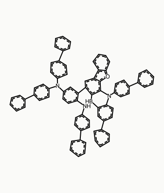 B1c2cc(-c3ccccc3)ccc2N(c2ccc(-c3ccccc3)cc2)c2c1c(-c1cc(N(c3ccc(-c4ccccc4)cc3)c3ccc(-c4ccccc4)cc3)ccc1Nc1ccc(-c3ccccc3)cc1)cc1c2oc2ccccc21